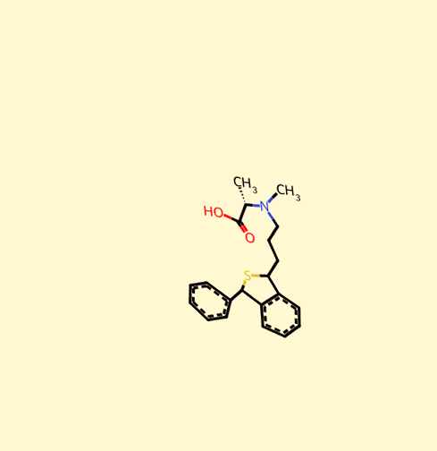 C[C@@H](C(=O)O)N(C)CCCC1SC(c2ccccc2)c2ccccc21